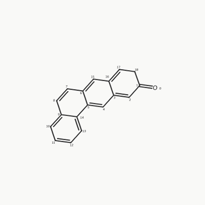 O=C1C=c2cc3c(ccc4ccccc43)cc2=CC1